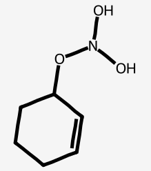 ON(O)OC1C=CCCC1